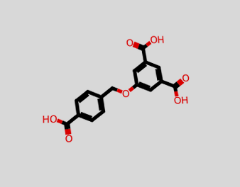 O=C(O)c1ccc(COc2cc(C(=O)O)cc(C(=O)O)c2)cc1